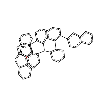 c1ccc(-c2ccccc2N(c2ccccc2-c2ccc3sc4ccccc4c3c2)c2cccc3sc4ccccc4c23)c(-c2ccc3ccccc3c2)c1